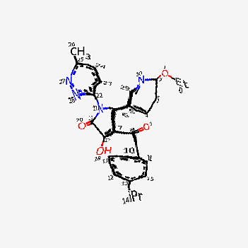 CCOC1CC=C(C2C(C(=O)c3ccc(C(C)C)cc3)=C(O)C(=O)N2c2ccc(C)nn2)C=N1